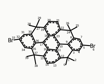 CC1(C)c2cc(Br)cc3c2-c2c4c1ccc1c4c4c5c(ccc(c25)C3(C)C)C(C)(C)c2cc(Br)cc(c2-4)C1(C)C